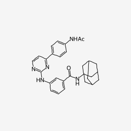 CC(=O)Nc1ccc(-c2ccnc(Nc3cccc(C(=O)NC45CC6CC(CC(C6)C4)C5)c3)n2)cc1